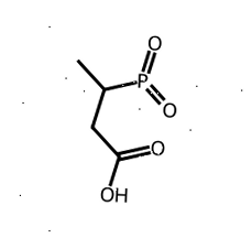 CC(CC(=O)O)P(=O)=O